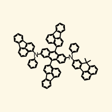 CC1(C)c2cc(N(c3ccccc3)c3ccc4c(-c5ccc6c7c(cccc57)-c5ccccc5-6)c5cc(N(c6ccccc6)c6ccc7c8c(cccc68)-c6ccccc6-7)ccc5c(-c5ccc6c7c(cccc57)-c5ccccc5-6)c4c3)ccc2-c2cccc3cccc1c23